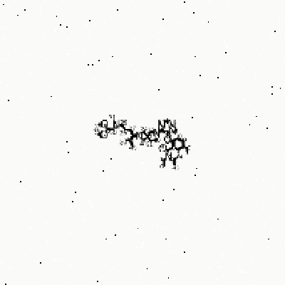 CCN(C(=O)c1cc(F)ccc1Oc1nncnc1N1CCC2(C1)CN(C(CCCN(C)CC(OC)OC)C(C)C)C2)C(C)C